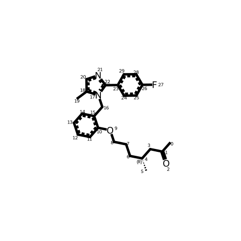 CC(=O)C[C@H](C)CCCOc1ccccc1Cn1c(C)cnc1-c1ccc(F)cc1